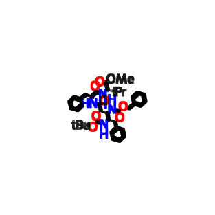 COC(=O)[C@@H](NC(=O)[C@H](Cc1ccccc1)NC(=O)C[C@H](NC(=O)OCc1ccccc1)[C@H](Cc1ccccc1)NC(=O)OC(C)(C)C)C(C)C